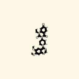 CCn1c(=O)n(C2CCN(c3ncnc4cc(OC)c(OC)cc34)CC2)c(=O)c2ccc(Cl)cc21